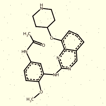 COc1ccc(NC(C)=O)cc1Nc1ncc2cccc(OC3CCNCC3)c2n1